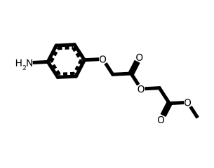 COC(=O)COC(=O)COc1ccc(N)cc1